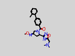 CON=C1CC(c2noc(CN(C)C)n2)N(C(=O)c2ccc(-c3ccccc3C)cc2)C1